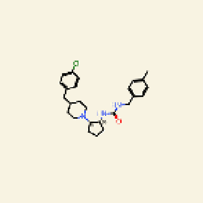 Cc1ccc(CNC(=O)N[C@@H]2CCC[C@H]2N2CCC(Cc3ccc(Cl)cc3)CC2)cc1